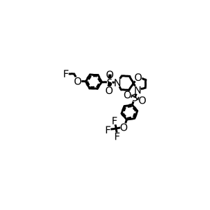 O=S(=O)(c1ccc(OCF)cc1)N1CCC2(CC1)OCCN2S(=O)(=O)c1ccc(OC(F)(F)F)cc1